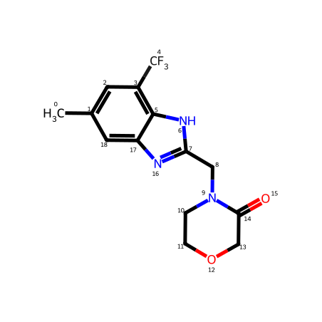 Cc1cc(C(F)(F)F)c2[nH]c(CN3CCOCC3=O)nc2c1